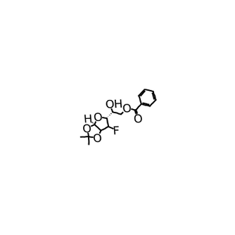 CC1(C)OC2C(F)[C@@H](C(O)COC(=O)c3ccccc3)O[C@@H]2O1